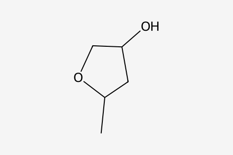 CC1CC(O)CO1